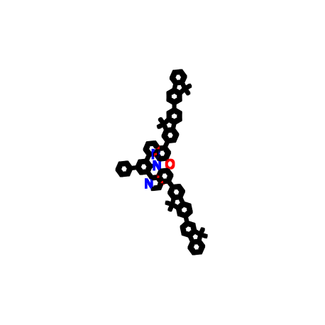 CC1(C)c2ccccc2-c2ccc(-c3ccc4c(c3)C(C)(C)c3cc(-c5ccc6c(c5)Oc5cc(-c7ccc8c(c7)C(C)(C)c7cc(-c9ccc%10c(c9)C(C)(C)c9ccccc9-%10)ccc7-8)ccc5N6c5c(-c6ccccn6)cc(-c6ccccc6)cc5-c5ccccn5)ccc3-4)cc21